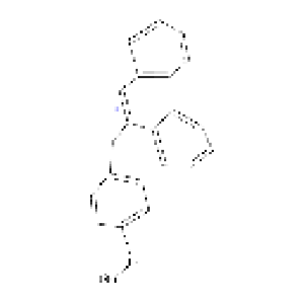 CC(C)(C)Oc1ccc(C/C(=C/c2ccccc2)c2ccccc2)cc1